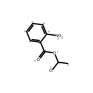 CC(Cl)OC(=O)c1ccccc1[N+](=O)[O-]